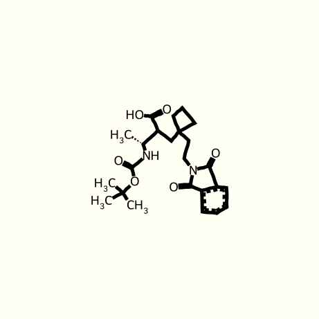 C[C@@H](NC(=O)OC(C)(C)C)C(CC1(CCN2C(=O)c3ccccc3C2=O)CCC1)C(=O)O